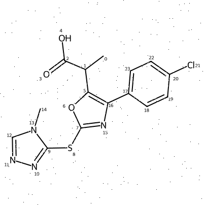 CC(C(=O)O)c1oc(Sc2nncn2C)nc1-c1ccc(Cl)cc1